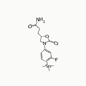 [CH3][Sn]([CH3])([CH3])[c]1ccc(N2CC(CCC(N)=O)OC2=O)cc1F